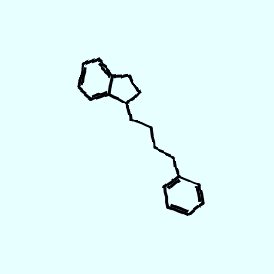 c1ccc(CCCC[C]2CCc3ccccc32)cc1